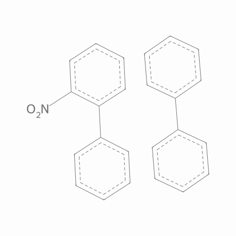 O=[N+]([O-])c1ccccc1-c1ccccc1.c1ccc(-c2ccccc2)cc1